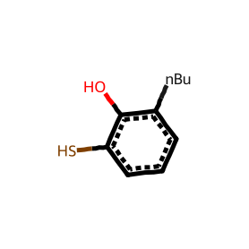 CCCCc1cccc(S)c1O